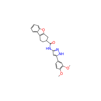 COc1ccc(-c2cc(NC(=O)C3CCc4c(oc5ccccc45)C3)n[nH]2)cc1OC